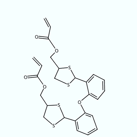 C=CC(=O)OCC1CSC(c2ccccc2Oc2ccccc2C2SCC(COC(=O)C=C)S2)S1